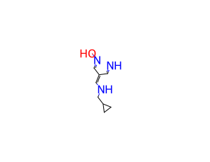 N=CC(/C=N/O)=C\NCC1CC1